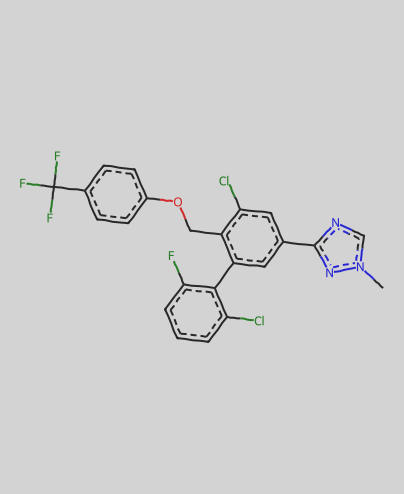 Cn1cnc(-c2cc(Cl)c(COc3ccc(C(F)(F)F)cc3)c(-c3c(F)cccc3Cl)c2)n1